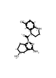 Nc1nn(C(=O)[C@@H]2CCNc3ccc(Cl)cc32)c2c1C[C@@H](O)CC2